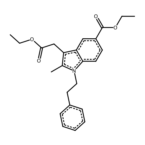 CCOC(=O)Cc1c(C)n(CCc2ccccc2)c2ccc(C(=O)OCC)cc12